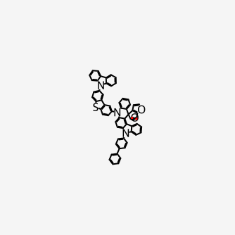 c1ccc(-c2ccc(-n3c4ccccc4c4c5c(ccc43)N(c3ccc4sc6ccc(-n7c8ccccc8c8ccccc87)cc6c4c3)c3ccccc3C53c4ccoc4-c4occc43)cc2)cc1